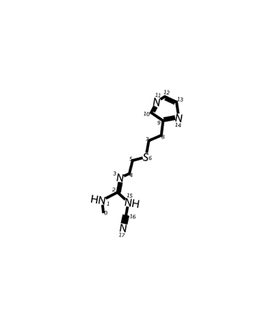 CN/C(=N/CCSCCc1cnccn1)NC#N